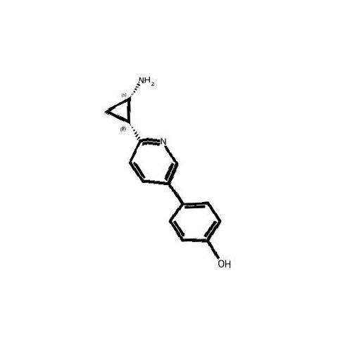 N[C@H]1C[C@H]1c1ccc(-c2ccc(O)cc2)cn1